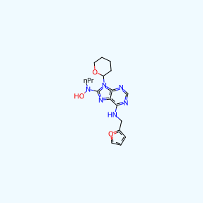 CCCN(O)c1nc2c(NCc3ccco3)ncnc2n1C1CCCCO1